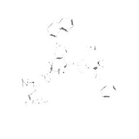 CO[C@@H]1C[C@@H](COc2nc3c(c(N4CCN(C(=O)OCc5ccccc5)C(CC#N)C4)n2)CCN(c2cccc4ccccc24)C3)N(C)C1